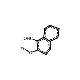 CCOc1ccc2ccccc2c1[C]=O